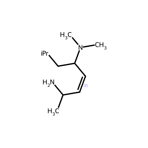 CC(N)/C=C\C(CC(C)C)N(C)C